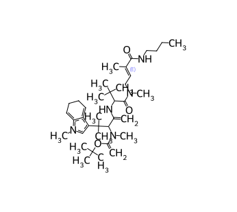 C=C(NC(C(=O)N(C)C/C=C(\C)C(=O)NCCCC)C(C)(C)C)C(N(C)C(=C)OC(C)(C)C)C(C)(C)c1cn(C)c2c1=CCCC=2